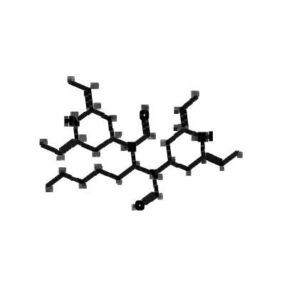 C/C=C1/CC(N(C=O)C(CCCCC)N(C=O)C2C/C(=C/C)N/C(=C\C)C2)C/C(=C/C)N1